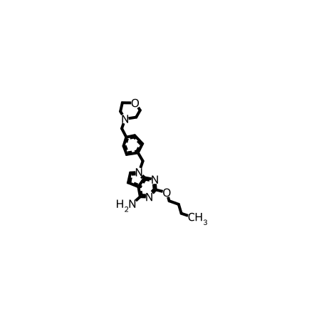 CCCCOc1nc(N)c2ccn(Cc3ccc(CN4CCOCC4)cc3)c2n1